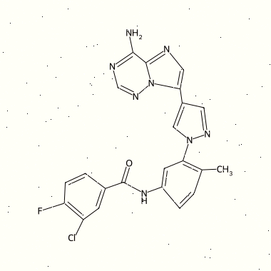 Cc1ccc(NC(=O)c2ccc(F)c(Cl)c2)cc1-n1cc(-c2cnc3c(N)ncnn23)cn1